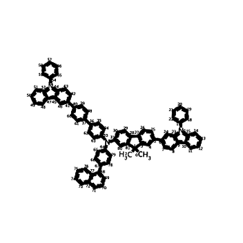 CC1(C)c2cc(-c3ccc4c5ccccc5n(-c5ccccc5)c4c3)ccc2-c2ccc(N(c3ccc(-c4ccc(-c5ccc6c(c5)c5ccccc5n6-c5ccccc5)cc4)cc3)c3ccc(-c4cccc5ccccc45)cc3)cc21